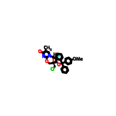 COc1ccc(C(O[C@H]2[C@H](F)[C@H]3O[C@]2(CCl)COc2nc(=O)c(C)cn23)(c2ccccc2)c2ccccc2)cc1